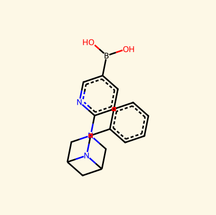 OB(O)c1ccc(N2CC3CC(C2)N3Cc2ccccc2)nc1